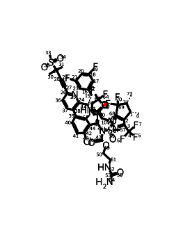 C[C@@H]1c2c(C(F)(F)F)nn(CC(=O)N[C@@H](Cc3cc(F)cc(F)c3)c3nc(C#CC(C)(C)S(C)(=O)=O)ccc3-c3ccc(Cl)c4c(N(C(=O)OCCNC(N)=O)S(C)(=O)=O)nn(CC(F)(F)F)c34)c2C(F)(F)[C@@H]1C